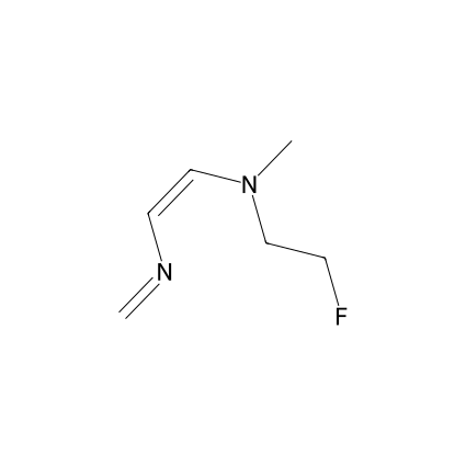 C=N/C=C\N(C)CCF